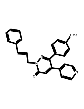 COc1ccc(-c2nn(CC=Cc3ccccc3)c(=O)cc2-c2ccncc2)cc1